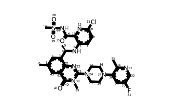 Cc1cc([C@@H](C)Nc2ccc(Cl)nc2C(=O)NS(C)(=O)=O)c2nc(N3CCN(c4cc(F)cnc4C)CC3)n(C)c(=O)c2c1